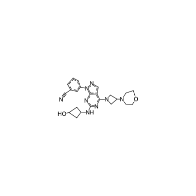 N#Cc1cccc(-n2ncc3c(N4CC(N5CCOCC5)C4)nc(NC4CC(O)C4)nc32)c1